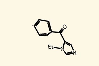 CCn1cncc1C(=O)c1cc[c]cc1